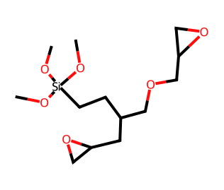 CO[Si](CCC(COCC1CO1)CC1CO1)(OC)OC